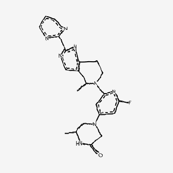 CC1CN(c2cc(F)nc(N3CCc4nc(-c5ncccn5)ncc4C3C)c2)CC(=O)N1